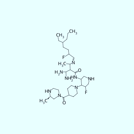 CCCC(CC)CCC(F)/C=N\C(C)C(C(=O)NC1CNCC(F)C1N1CCC(C(=O)N2CCN[C@H](C)C2)CC1)C(N)N